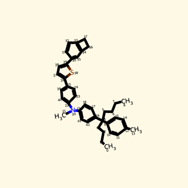 CCCCC(CCCC)(c1ccc(C)cc1)c1ccc(N(C)c2ccc(-c3ccc(-c4ccc5c(c4)CC5)s3)cc2)cc1